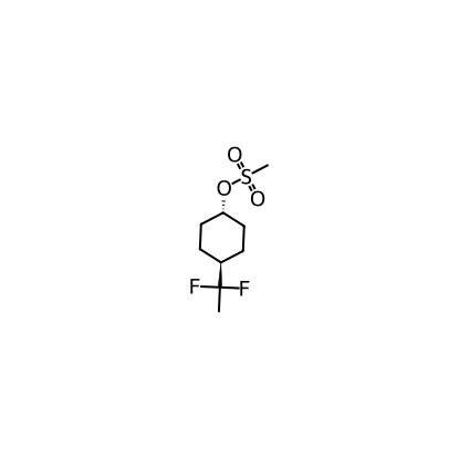 CC(F)(F)[C@H]1CC[C@H](OS(C)(=O)=O)CC1